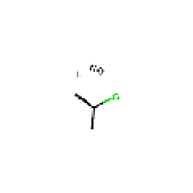 CC(C)Cl.[Li].[Mg]